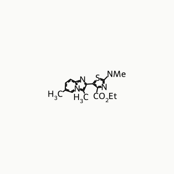 CCOC(=O)c1nc(NC)sc1-c1nc2ccc(C)cn2c1C